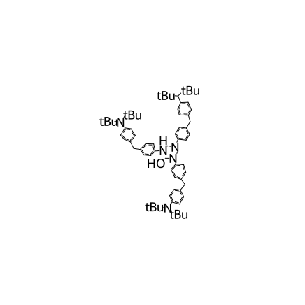 CC(C)(C)C(c1ccc(Cc2ccc(N(CNc3ccc(Cc4ccc(N(C(C)(C)C)C(C)(C)C)cc4)cc3)CN(CO)c3ccc(Cc4ccc(N(C(C)(C)C)C(C)(C)C)cc4)cc3)cc2)cc1)C(C)(C)C